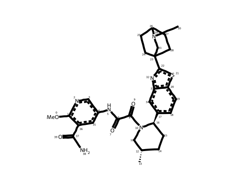 COc1ncc(NC(=O)C(=O)N2C[C@@H](C)CC[C@@H]2c2ccc3sc(C45CCC(CC4)N(C)C5)nc3c2)cc1C(N)=O